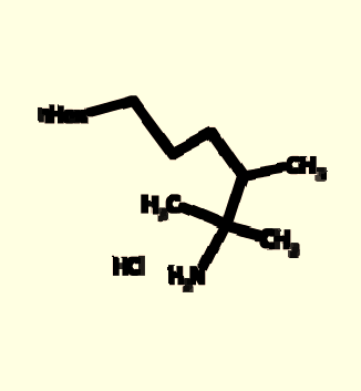 CCCCCCCCCC(C)C(C)(C)N.Cl